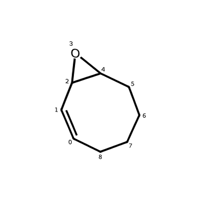 C1=CC2OC2CCCC1